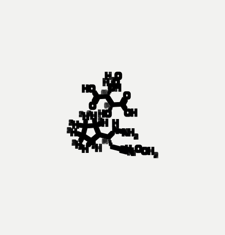 O.O.O.O.O=C(O)[C@H](O)[C@@H](O)C(=O)O.[2H]C1([2H])C([C@@H](CC#N)NN)C([2H])([2H])C([2H])([2H])C1([2H])[2H]